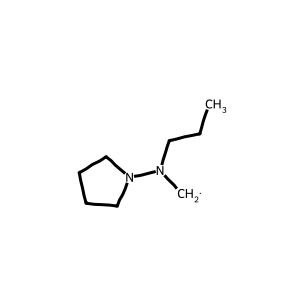 [CH2]N(CCC)N1CCCC1